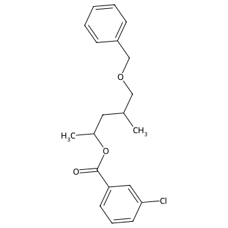 CC(COCc1ccccc1)CC(C)OC(=O)c1cccc(Cl)c1